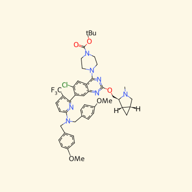 COc1ccc(CN(Cc2ccc(OC)cc2)c2ccc(C(F)(F)F)c(-c3cc4nc(OC[C@@H]5[C@H]6C[C@H]6CN5C)nc(N5CCN(C(=O)OC(C)(C)C)CC5)c4cc3Cl)n2)cc1